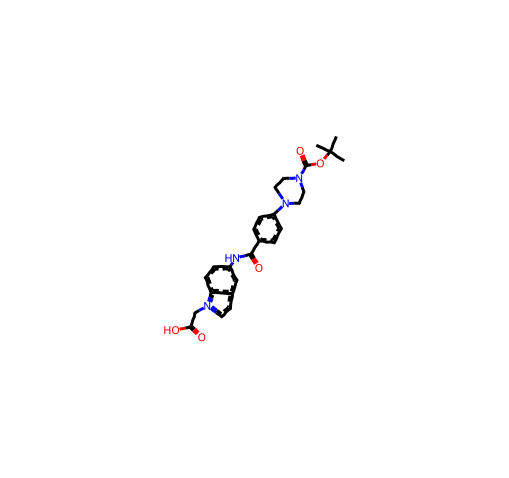 CC(C)(C)OC(=O)N1CCN(c2ccc(C(=O)Nc3ccc4c(ccn4CC(=O)O)c3)cc2)CC1